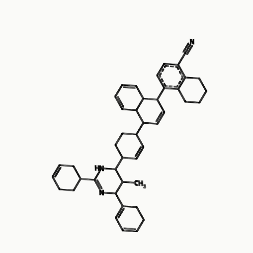 CC1C(C2=CC=CCC2)N=C(C2CC=CCC2)NC1C1C=CC(C2C=CC(c3ccc(C#N)c4c3CCCC4)C3C=CC=CC23)CC1